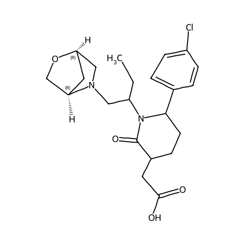 CCC(CN1C[C@H]2C[C@@H]1CO2)N1C(=O)C(CC(=O)O)CCC1c1ccc(Cl)cc1